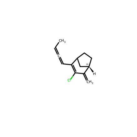 C=C1C(Cl)=C(C=C=CC)C2CC[C@H]1C2